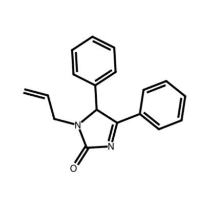 C=CCN1C(=O)N=C(c2ccccc2)C1c1ccccc1